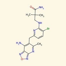 Cc1nc2nonc2c(N)c1Cc1ccc(Br)c(NCC(C)(C)C(N)=O)n1